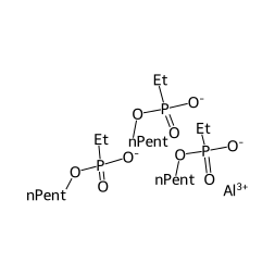 CCCCCOP(=O)([O-])CC.CCCCCOP(=O)([O-])CC.CCCCCOP(=O)([O-])CC.[Al+3]